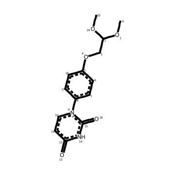 COC(COc1ccc(-n2ccc(=O)[nH]c2=O)cc1)OC